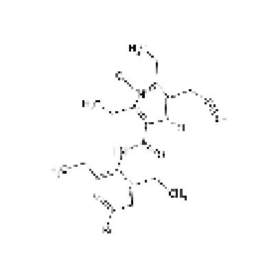 C#CCc1c(Cl)c(C(=O)Nc2c(CC)cc(Br)cc2CC)c(CC)[n+]([O-])c1CC